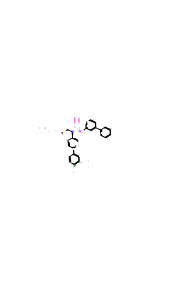 COC(=O)CC(NC(=O)c1cc(-c2cccc(C(F)(F)F)c2)ccc1O)c1ccc(-c2ccc(F)c(Cl)c2)cc1